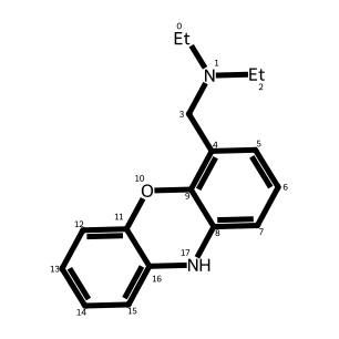 CCN(CC)Cc1cccc2c1Oc1ccccc1N2